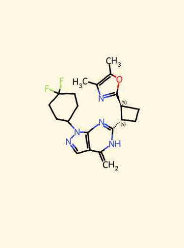 C=C1NC([C@H]2CC[C@@H]2c2nc(C)c(C)o2)=Nc2c1cnn2C1CCC(F)(F)CC1